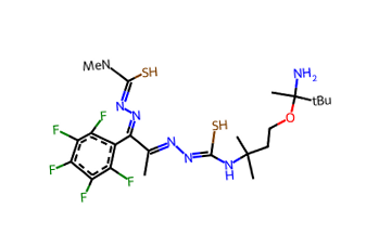 CN/C(S)=N/N=C(/C(C)=N/N=C(\S)NC(C)(C)CCOC(C)(N)C(C)(C)C)c1c(F)c(F)c(F)c(F)c1F